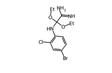 CCOC(Nc1ccc(Br)cc1Cl)(OCC)C(=N)N